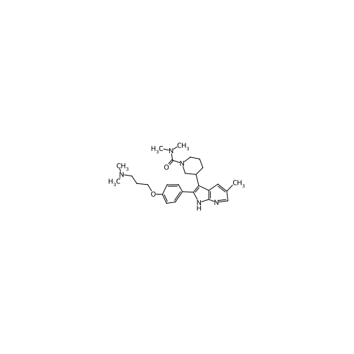 Cc1cnc2[nH]c(-c3ccc(OCCCN(C)C)cc3)c(C3CCCN(C(=O)N(C)C)C3)c2c1